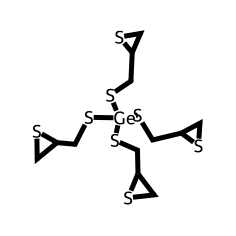 C1SC1C[S][Ge]([S]CC1CS1)([S]CC1CS1)[S]CC1CS1